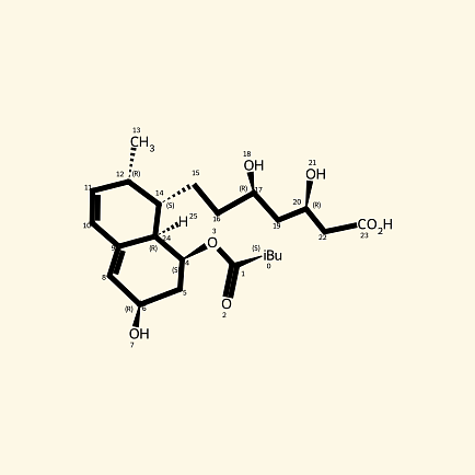 CC[C@H](C)C(=O)O[C@H]1C[C@@H](O)C=C2C=C[C@H](C)[C@H](CC[C@@H](O)C[C@@H](O)CC(=O)O)[C@H]21